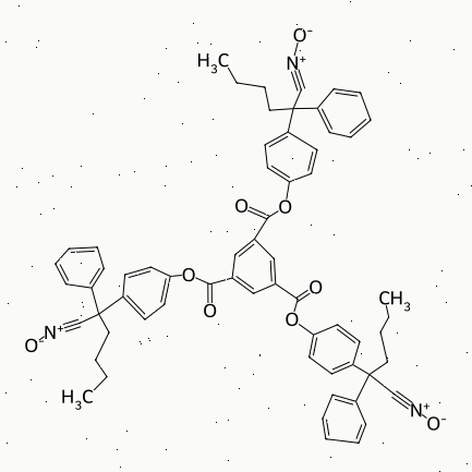 CCCCC(C#[N+][O-])(c1ccccc1)c1ccc(OC(=O)c2cc(C(=O)Oc3ccc(C(C#[N+][O-])(CCCC)c4ccccc4)cc3)cc(C(=O)Oc3ccc(C(C#[N+][O-])(CCCC)c4ccccc4)cc3)c2)cc1